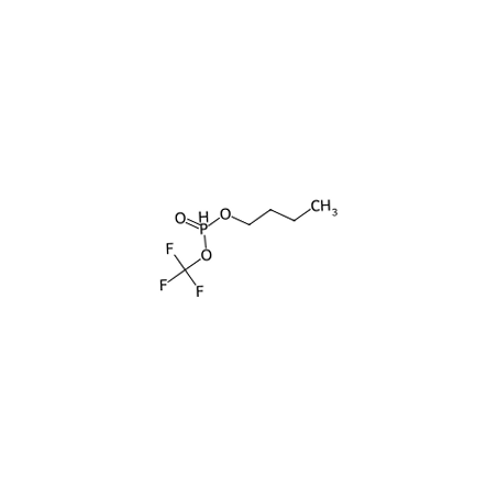 CCCCO[PH](=O)OC(F)(F)F